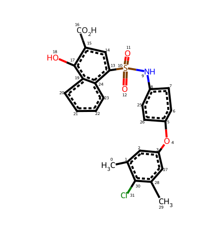 Cc1cc(Oc2ccc(NS(=O)(=O)c3cc(C(=O)O)c(O)c4ccccc34)cc2)cc(C)c1Cl